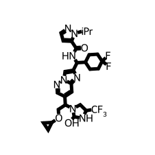 CC(C)n1nccc1C(=O)NC(c1cn2ncc(C(COC3CC3)N3CC(C(F)(F)F)NC3O)cc2n1)C1CCC(F)(F)CC1